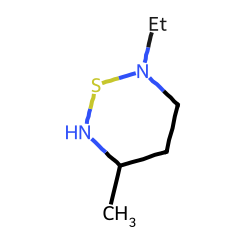 CCN1CCC(C)NS1